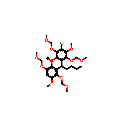 CCCCC(c1c(OC)c(OCOC)cc(OC)c1OCOC)c1c(OC)c(OCOC)c(Cl)c(OC)c1OCOC